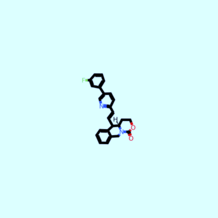 O=C1OCC[C@@H]2C(/C=C/c3ccc(-c4cccc(F)c4)cn3)c3ccccc3CN12